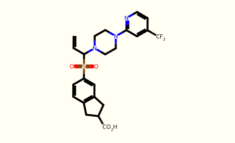 C=CC(N1CCN(c2cc(C(F)(F)F)ccn2)CC1)S(=O)(=O)c1ccc2c(c1)CC(C(=O)O)C2